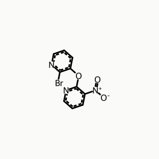 O=[N+]([O-])c1cccnc1Oc1cccnc1Br